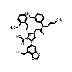 CCCCN(C(=O)CN1C[C@H](c2cc(CO)c3c(c2)OCO3)[C@@H](C(=O)O)[C@@H]1CCc1ccccc1OC)c1cccc(CN)c1